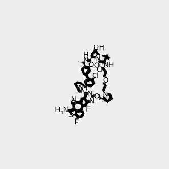 C[C@H](NC(=O)[C@@H]1C[C@@H](O)CN1C(=O)[C@@H](NC(=O)CCOCCCN1CCC[C@H]1COc1nc(N2CC3CCC(C2)N3)c2cc(Cl)c(-c3ccc(F)c4sc(N)c(C#N)c34)c(F)c2n1)C(C)(C)C)c1ccc(-c2ccccc2Cl)cc1